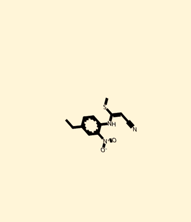 CCc1ccc(N/C(=C\C#N)SC)c([N+](=O)[O-])c1